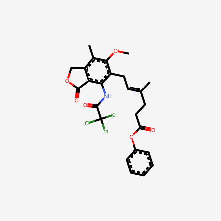 COc1c(C)c2c(c(NC(=O)C(Cl)(Cl)Cl)c1C/C=C(\C)CCC(=O)Oc1ccccc1)C(=O)OC2